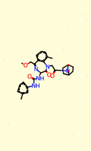 COCC1=NC(NC(=O)Nc2cccc(C)c2)C(=O)N(CC(=O)N2CC3CCC(CC3)C2)c2c(C)cccc21